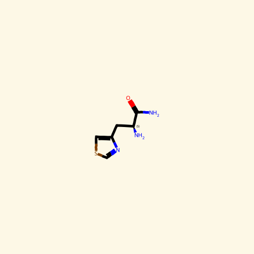 NC(=O)[C@@H](N)Cc1cscn1